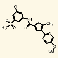 Cc1sc(C(=O)Nc2cc(Cl)cc(S(C)(=O)=O)c2)cc1-c1ncc(OC(C)(C)C)cn1